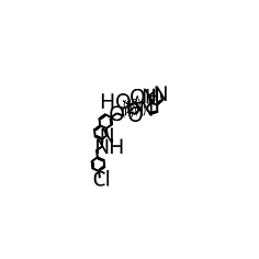 O[C@@H]1[C@H](O)[C@@H](COc2ccc3ccc(NCc4ccc(Cl)cc4)nc3c2)O[C@H]1n1ccc2cncnc21